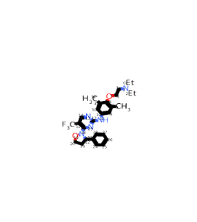 CCN(CC)CCOc1c(C)cc(Nc2ncc(C(F)(F)F)c(N3OCCC3c3ccccc3)n2)cc1C